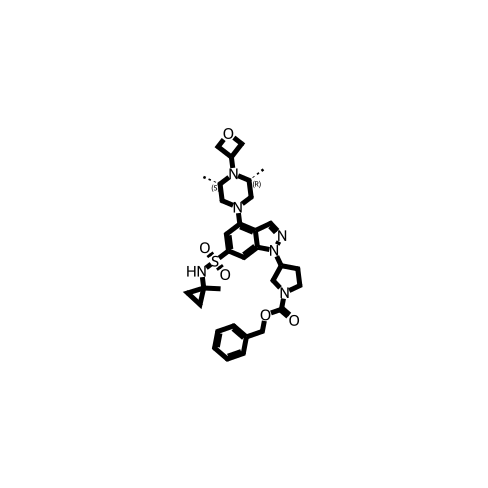 C[C@@H]1CN(c2cc(S(=O)(=O)NC3(C)CC3)cc3c2cnn3C2CCN(C(=O)OCc3ccccc3)C2)C[C@H](C)N1C1COC1